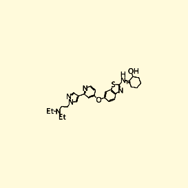 CCN(CC)CCn1cc(-c2cc(Oc3ccc4nc(N[C@@H]5CCCCC5O)sc4c3)ccn2)cn1